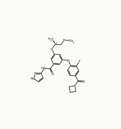 COC[C@H](C)Oc1cc(Oc2ccc(C(=O)N3CCC3)cc2F)cc(C(=O)Nc2cc[nH]n2)c1